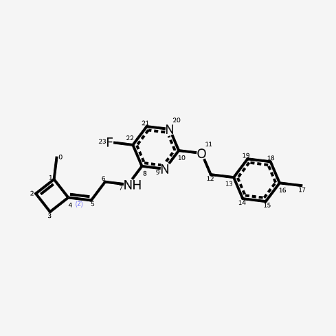 CC1=CC/C1=C/CNc1nc(OCc2ccc(C)cc2)ncc1F